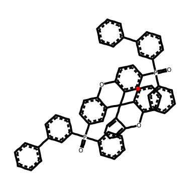 O=P(c1ccccc1)(c1cccc(-c2ccccc2)c1)c1ccc2c(c1)C1(C3=CCCC=C3Oc3ccccc31)c1cc(P(=O)(c3ccccc3)c3cccc(-c4ccccc4)c3)ccc1O2